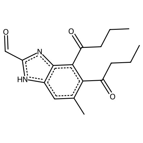 CCCC(=O)c1c(C)cc2[nH]c(C=O)nc2c1C(=O)CCC